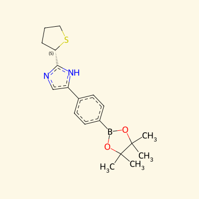 CC1(C)OB(c2ccc(-c3cnc([C@@H]4CCCS4)[nH]3)cc2)OC1(C)C